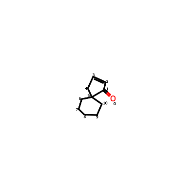 O=C1C=CCC12CCCCC2